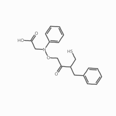 O=C(O)CN(OCC(=O)C(CS)Cc1ccccc1)c1ccccc1